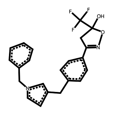 OC1(C(F)(F)F)CC(c2ccc(Cc3ccn(Cc4ccccc4)c3)cc2)=NO1